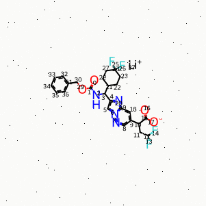 O=C(NC(c1cn2ncc(C(CC(F)F)C(=O)[O-])cc2n1)C1CCC(F)(F)CC1)OCc1ccccc1.[Li+]